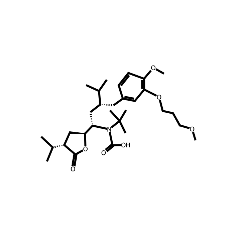 COCCCOc1cc(C[C@H](C[C@@H]([C@@H]2C[C@@H](C(C)C)C(=O)O2)N(C(=O)O)C(C)(C)C)C(C)C)ccc1OC